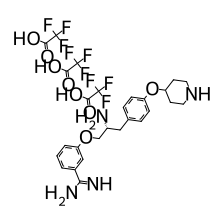 N=C(N)c1cccc(OC[C@H](N)Cc2ccc(OC3CCNCC3)cc2)c1.O=C(O)C(F)(F)F.O=C(O)C(F)(F)F.O=C(O)C(F)(F)F